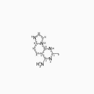 Cc1nc(N)c2ccc3nccn3c2n1